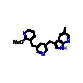 COc1ncccc1Cc1[c]ncc(Cc2c[nH]c3ncc(C)cc23)c1